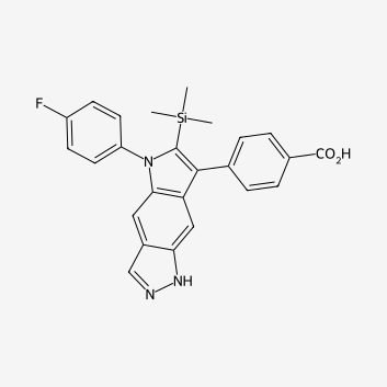 C[Si](C)(C)c1c(-c2ccc(C(=O)O)cc2)c2cc3[nH]ncc3cc2n1-c1ccc(F)cc1